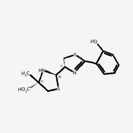 C[C@]1(C(=O)O)CS[C@H]([C@@H]2CSC(c3ccccc3O)=N2)N1